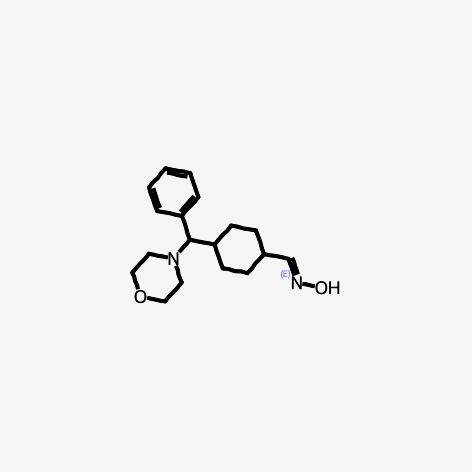 O/N=C/C1CCC(C(c2ccccc2)N2CCOCC2)CC1